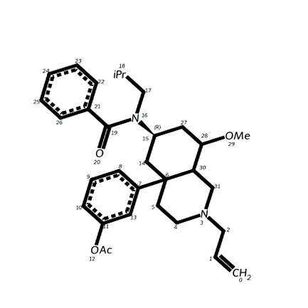 C=CCN1CCC2(c3cccc(OC(C)=O)c3)C[C@@H](N(CC(C)C)C(=O)c3ccccc3)CC(OC)C2C1